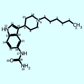 CCCCCCN1CCC(c2c[nH]c3ccc(NC(N)=O)cc23)CC1